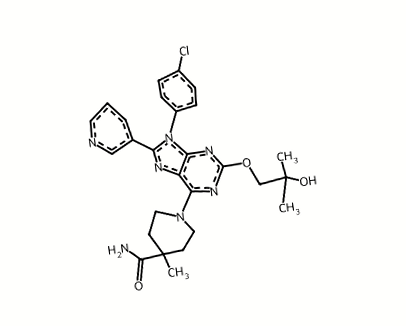 CC(C)(O)COc1nc(N2CCC(C)(C(N)=O)CC2)c2nc(-c3cccnc3)n(-c3ccc(Cl)cc3)c2n1